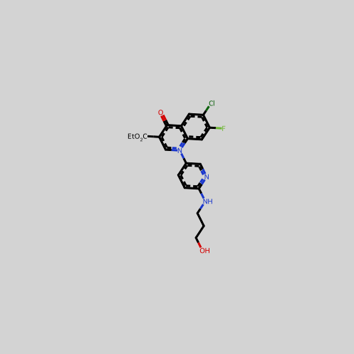 CCOC(=O)c1cn(-c2ccc(NCCCO)nc2)c2cc(F)c(Cl)cc2c1=O